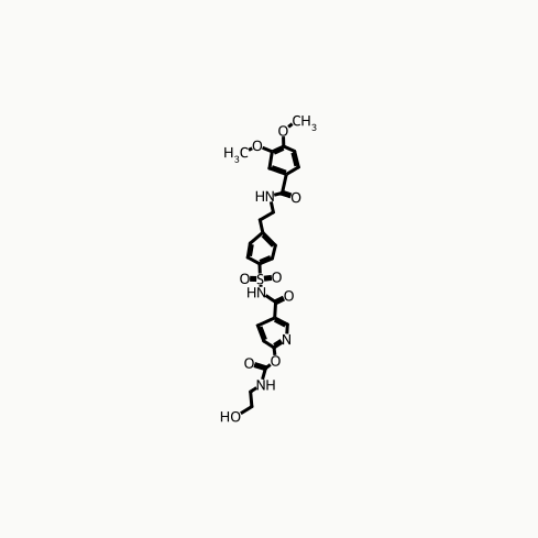 COc1ccc(C(=O)NCCc2ccc(S(=O)(=O)NC(=O)c3ccc(OC(=O)NCCO)nc3)cc2)cc1OC